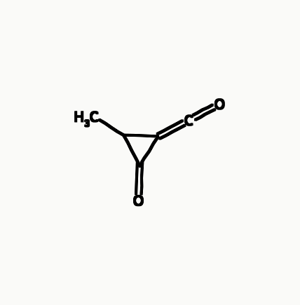 CC1C(=O)C1=C=O